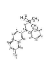 [2H]c1cnc2ccc(N(C[Si](C)(C)C)c3ccccc3)cc2n1